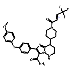 COc1ccc(Oc2ccc(-c3nc4n(c3C(N)=O)NCCC4C3CCN(C(=O)/C=C/C(F)(F)F)CC3)cc2)cc1